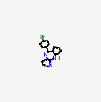 Brc1ccc(C2=Nc3cccnc3Nc3ccccc32)cc1